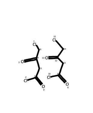 O=C(Cl)CC(=O)CCl.O=C(Cl)CC(=O)CCl